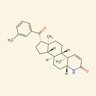 Cc1cccc(C(=O)[C@H]2CC[C@H]3[C@@H]4CC[C@H]5NC(=O)C=C[C@]5(C)[C@H]4CC[C@]23C)c1